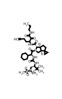 C#CCCC(NC(=O)[C@@H]1[C@H]2CCC3(CC3)[C@H]2CN1C(=O)[C@@H](NC(=O)N[C@H](CN(C)S(C)(=O)=O)C(C)(C)C)C1CCCCC1)C(=O)C(=O)NCC=C